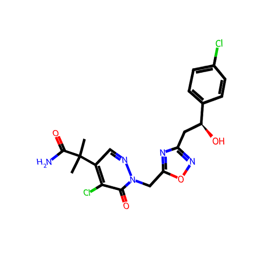 CC(C)(C(N)=O)c1cnn(Cc2nc(C[C@H](O)c3ccc(Cl)cc3)no2)c(=O)c1Cl